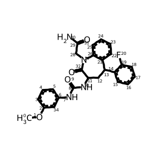 COc1cccc(NC(=O)NC2CC(c3ccccc3F)c3ccccc3N(CC(N)=O)C2=O)c1